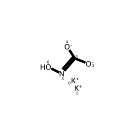 [K+].[K+].[O-]C([O-])=NO